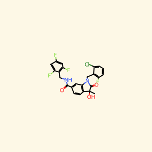 CC1(O)C(=O)N(Cc2c(F)cccc2Cl)c2cc(C(=O)NCc3c(F)cc(F)cc3F)ccc21